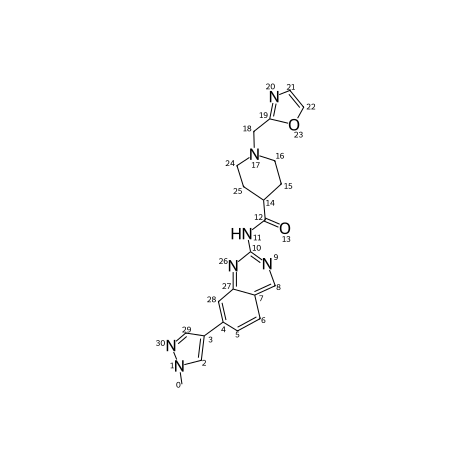 Cn1cc(-c2ccc3cnc(NC(=O)C4CCN(Cc5ncco5)CC4)nc3c2)cn1